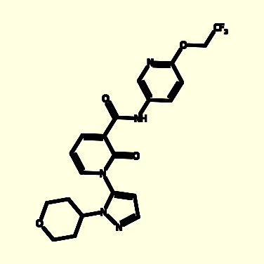 O=C(Nc1ccc(OCC(F)(F)F)nc1)c1cccn(-c2ccnn2C2CCOCC2)c1=O